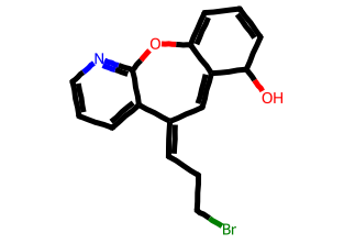 OC1C=CC=C2Oc3ncccc3C(=CCCBr)C=C21